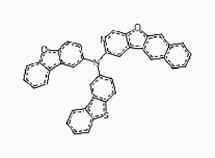 c1ccc2cc3c(cc2c1)oc1cnc(N(c2ccc4oc5ccccc5c4c2)c2ccc4sc5ccccc5c4c2)cc13